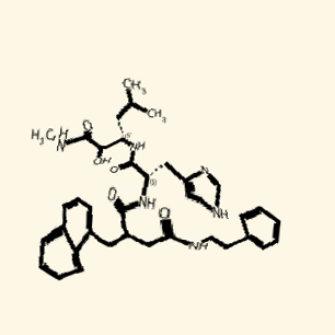 CNC(=O)C(O)[C@H](CC(C)C)NC(=O)[C@H](Cc1c[nH]cn1)NC(=O)C(CC(=O)NCCc1ccccc1)Cc1cccc2ccccc12